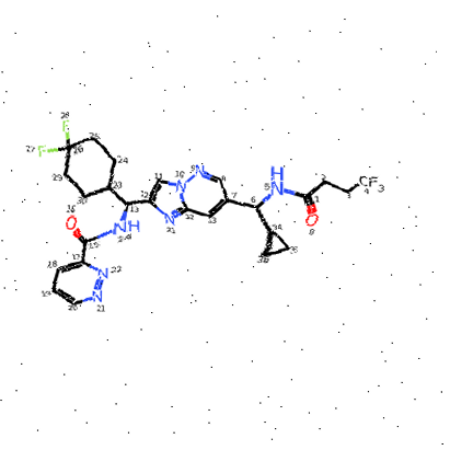 O=C(CCC(F)(F)F)NC(c1cnn2cc([C@@H](NC(=O)c3cccnn3)C3CCC(F)(F)CC3)nc2c1)C1CC1